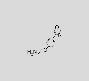 NCCOc1ccc(-c2cocn2)cc1